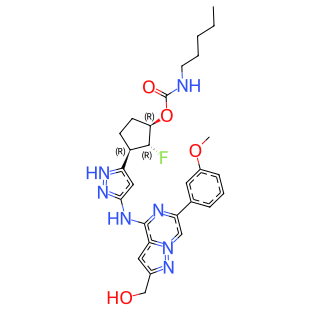 CCCCCNC(=O)O[C@@H]1CC[C@H](c2cc(Nc3nc(-c4cccc(OC)c4)cn4nc(CO)cc34)n[nH]2)[C@H]1F